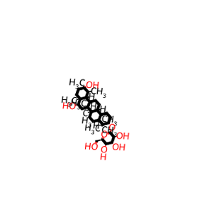 C[C@H]1[C@@H]2[C@H]3CC[C@@H]4[C@@]5(C)CC[C@H](O[C@@H]6O[C@H](CO)[C@@H](O)[C@H](O)[C@H]6O)C(C)(C)[C@@H]5CC[C@@]4(C)[C@]3(C)C[C@H](O)[C@@]2(C)CC[C@]1(C)O